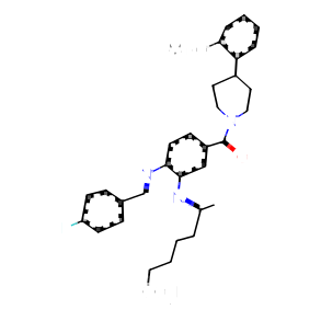 COc1ccccc1C1CCN(C(=O)c2ccc(/N=C/c3ccc(F)cc3)c(/N=C(\C)CCCCC(=O)O)c2)CC1